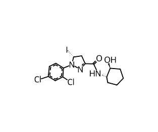 O=C(N[C@H]1CCCC[C@@H]1O)C1=NN(c2ccc(Cl)cc2Cl)[C@H](I)C1